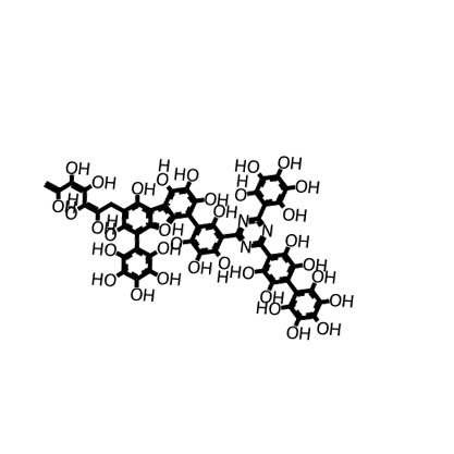 C=C(O)/C(O)=C(O)\C(O)=C(\O)Cc1c(O)c(-c2c(O)c(O)c(O)c(O)c2O)c2oc3c(-c4c(O)c(O)c(O)c(-c5nc(-c6c(O)c(O)c(O)c(O)c6O)nc(-c6c(O)c(O)c(-c7c(O)c(O)c(O)c(O)c7O)c(O)c6O)n5)c4O)c(O)c(O)c(O)c3c2c1O